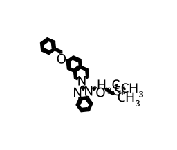 C[Si](C)(C)CCOCn1c(N2CCc3ccc(OCc4ccccc4)cc3C2)nc2ccccc21